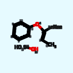 CC=C(CCCCCCCCC)Oc1ccccc1.O=S(=O)(O)O